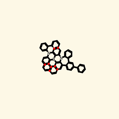 c1ccc(-c2ccc3c(c2)-c2ccccc2N2c4cccc5c4B(c4c(-c6ccccc6)cccc4N5c4ccccc4-c4ccccn4)c4c(-c5ccccc5)ccc-3c42)cc1